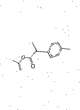 C=C(C)OC(=O)C(C)c1ccc(C)cc1